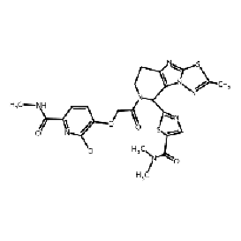 CNC(=O)c1ccc(OCC(=O)N2CCc3nc4sc(C)nn4c3C2c2ncc(C(=O)N(C)C)s2)c(Cl)n1